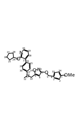 COc1ccc(COc2cc(CN(C)c3ccc(-c4cccnc4OC4CCCC4)cc3)on2)cc1